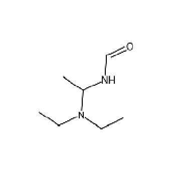 CCN(CC)C(C)NC=O